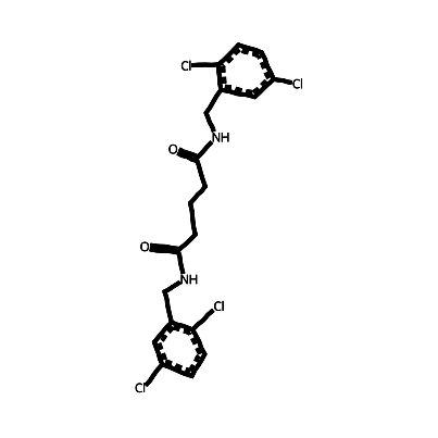 O=C(CCCC(=O)NCc1cc(Cl)ccc1Cl)NCc1cc(Cl)ccc1Cl